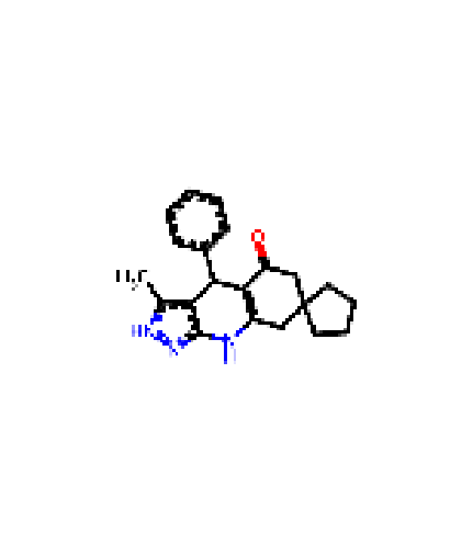 Cc1[nH]nc2c1C(c1ccccc1)C1=C(CC3(CCCC3)CC1=O)N2